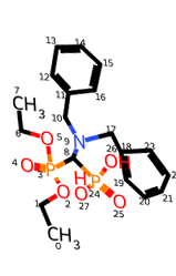 CCOP(=O)(OCC)C(N(Cc1ccccc1)Cc1ccccc1)P(=O)(O)O